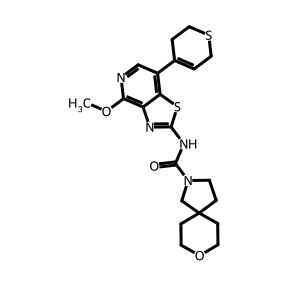 COc1ncc(C2=CCSCC2)c2sc(NC(=O)N3CCC4(CCOCC4)C3)nc12